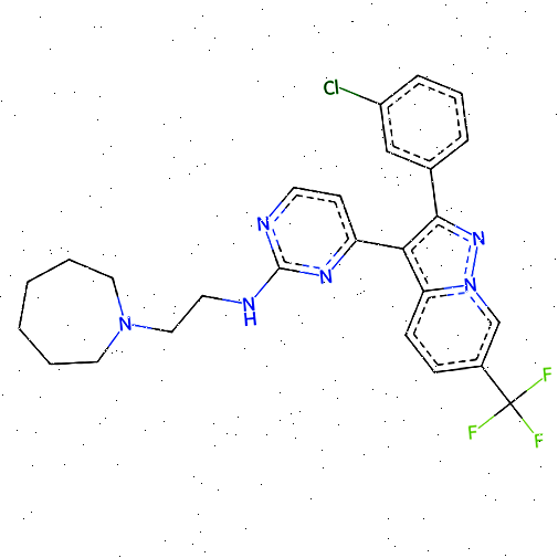 FC(F)(F)c1ccc2c(-c3ccnc(NCCN4CCCCCC4)n3)c(-c3cccc(Cl)c3)nn2c1